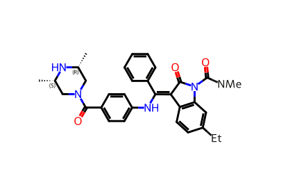 CCc1ccc2c(c1)N(C(=O)NC)C(=O)C2=C(Nc1ccc(C(=O)N2C[C@@H](C)N[C@@H](C)C2)cc1)c1ccccc1